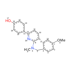 COc1ccc(CN(C)c2cccc(-c3ccc(O)cc3)n2)cc1